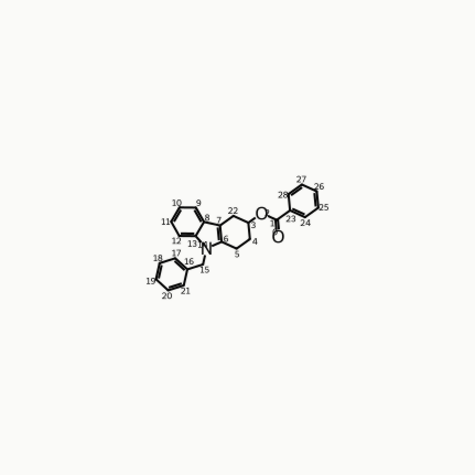 O=C(OC1CCc2c(c3ccccc3n2Cc2ccccc2)C1)c1ccccc1